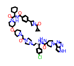 NC1(C(=O)N[C@@H](CCN2CCN(C(=O)CN3CCC(OC4CCN(C(=O)[C@H](NC(=O)c5ccc(C6CN(C(=O)C7CC7)C6)cc5)C5CCCCC5)CC4)CC3)CC2)c2ccc(Cl)cc2)CCN(c2ncnc3[nH]ccc23)CC1